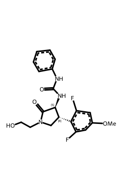 COc1cc(F)c([C@@H]2CN(CCO)C(=O)[C@H]2NC(=O)Nc2ccccc2)c(F)c1